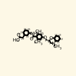 Cc1cc(OC[C@@H]2CN(C)c3ccccc3O2)cc(C)c1C(=O)Nc1cccc(CC(=O)O)c1